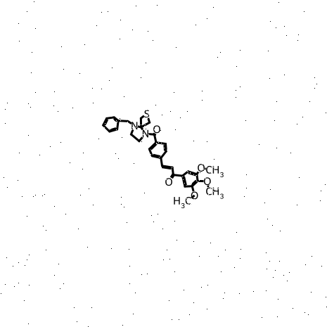 COc1cc(C(=O)/C=C/c2ccc(C(=O)N3CCN(Cc4ccccc4)C34CSC4)cc2)cc(OC)c1OC